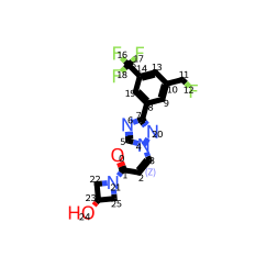 O=C(/C=C\n1cnc(-c2cc(CF)cc(C(F)(F)F)c2)n1)N1CC(O)C1